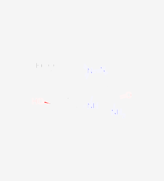 CCOC(=O)c1cc2c(N[C@@H]3CC[C@@H](O)C3(C)C)c(C(N)=O)cnn2c1